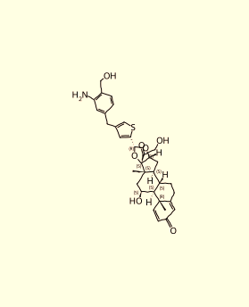 C[C@]12C=CC(=O)C=C1CC[C@@H]1[C@@H]2[C@@H](O)C[C@@]2(C)[C@H]1C[C@H]1O[C@@H](c3cc(Cc4ccc(CO)c(N)c4)cs3)O[C@]12C(=O)CO